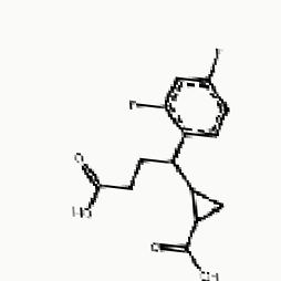 O=C(O)CCC(c1ccc(F)cc1F)C1CC1C(=O)O